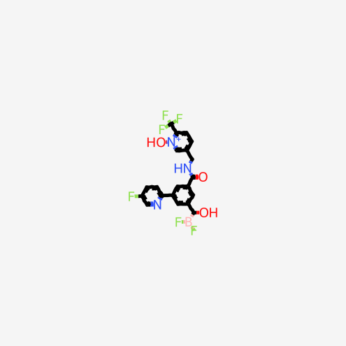 O=C(NCc1ccc(C(F)(F)F)[n+](O)c1)c1cc(-c2ccc(F)cn2)cc(C(O)B(F)F)c1